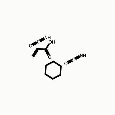 C1CCCCC1.C=CC(=O)O.N=C=O.N=C=O